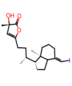 C[C@H](CCC1=C[C@](C)(O)C(=O)O1)[C@H]1CCC2/C(=C/I)CCC[C@@]21C